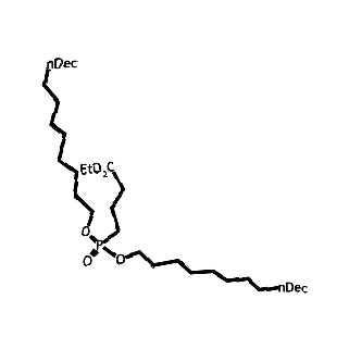 CCCCCCCCCCCCCCCCCCOP(=O)(CCCC(=O)OCC)OCCCCCCCCCCCCCCCCCC